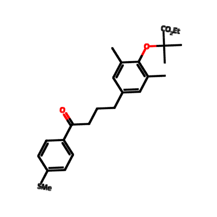 CCOC(=O)C(C)(C)Oc1c(C)cc(CCCC(=O)c2ccc(SC)cc2)cc1C